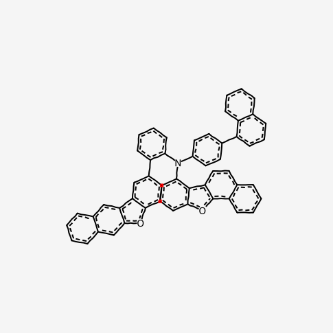 c1ccc(N(c2ccc(-c3cccc4ccccc34)cc2)c2cccc3oc4c5ccccc5ccc4c23)c(-c2ccc3oc4cc5ccccc5cc4c3c2)c1